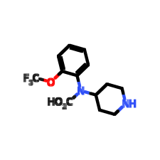 O=C(O)N(c1ccccc1OC(F)(F)F)C1CCNCC1